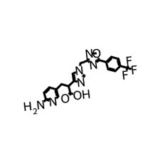 Nc1ccc(CC(C(=O)O)c2cn(Cc3noc(-c4ccc(C(F)(F)F)cc4)n3)cn2)cn1